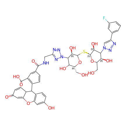 O=C1C=CC2C(=C1)Oc1cc(O)ccc1C2c1ccc(C(=O)NCc2nnn(C3C(O)[C@@H](CO)OC(S[C@@H]4OC(CO)[C@H](O)C(n5cc(-c6cccc(F)c6)nn5)[C@@H]4O)[C@@H]3O)n2)cc1C(=O)O